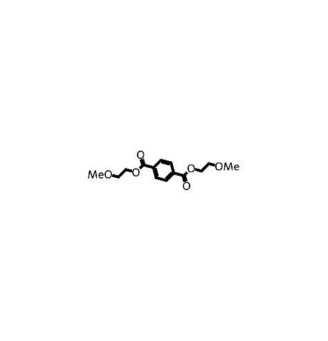 COCCOC(=O)c1ccc(C(=O)OCCOC)cc1